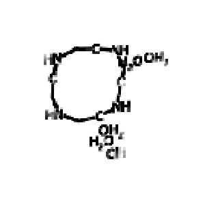 C1CNCCNCCNCCN1.Cl.O.O.O.O